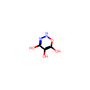 OC1=NNOC(O)=C1O